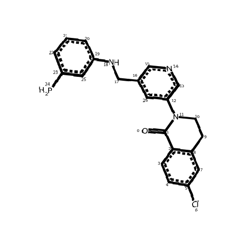 O=C1c2ccc(Cl)cc2CCN1c1cncc(CNc2cccc(P)c2)c1